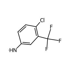 [NH]c1ccc(Cl)c(C(F)(F)F)c1